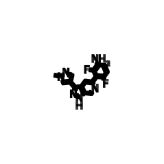 Cn1cc(-c2n[nH]c3cnc(-c4c(F)ccc(N)c4F)cc23)cn1